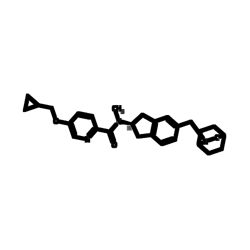 CN(C(=O)c1ccc(OCC2CC2)cn1)[C@@H]1Cc2ccc(CN3CC4CCC3CC4)cc2C1